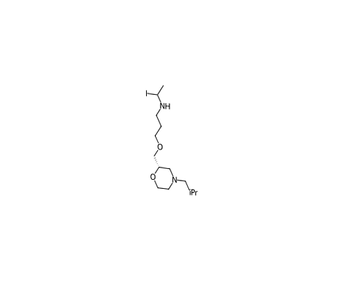 CC(C)CN1CCO[C@H](COCCCNC(C)I)C1